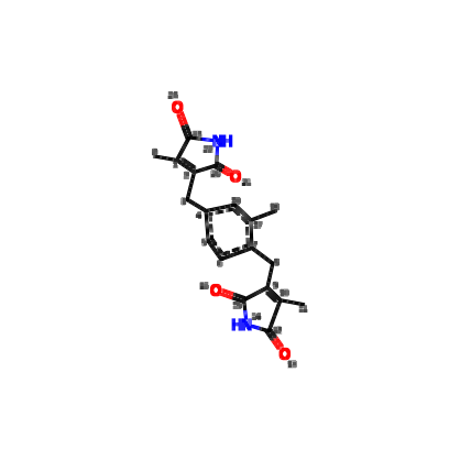 CC1=C(Cc2ccc(CC3=C(C)C(=O)NC3=O)c(C)c2)C(=O)NC1=O